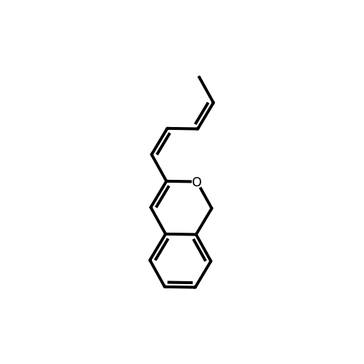 C/C=C\C=C/C1=Cc2ccccc2CO1